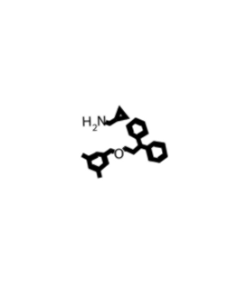 Cc1cc(C)cc(COCCC(c2ccccc2)c2ccccc2)c1.NCC1CC1